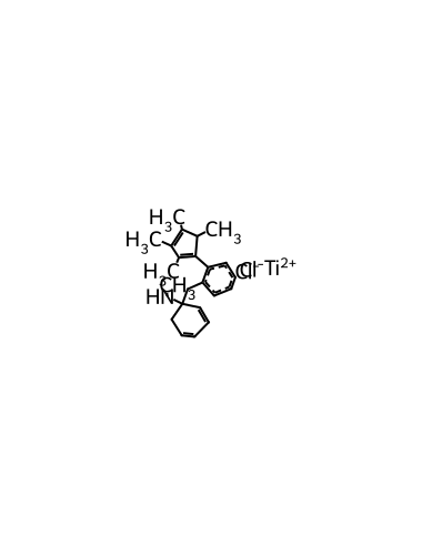 CNC1(Cc2ccccc2C2=C(C)C(C)=C(C)C2C)C=CC=CC1.[Cl-].[Cl-].[Ti+2]